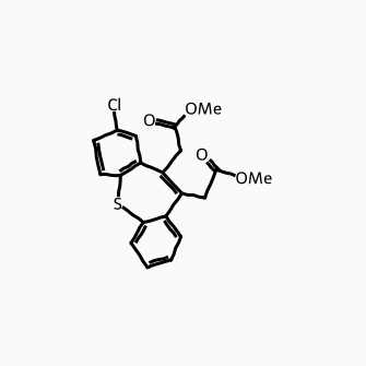 COC(=O)CC1=C(CC(=O)OC)c2cc(Cl)ccc2Sc2ccccc21